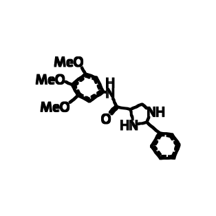 COc1cc(NC(=O)C2CNC(c3ccccc3)N2)cc(OC)c1OC